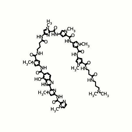 CN(C)CCCNC(=O)CCNC(=O)c1cc(NC(=O)c2cc(NC(=O)c3cc(NC(=O)c4nc(NC(=O)CCCNC(=O)c5cc(NC(=O)c6ccc7nc(-c8nc(NC(=O)c9nccn9C)cn8C)[nH]c7c6O)cn5C)cn4C)cn3C)cn2C)cn1C